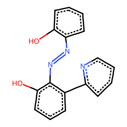 Oc1ccccc1N=Nc1c(O)cccc1-c1ccccn1